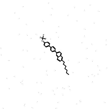 CCCCCCCc1ccc2cc(-c3ccc(-c4ccc(OC(F)(F)F)cc4)cc3)ccc2c1